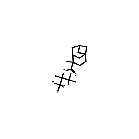 CC1(C(=O)OC(C)(C(C)(C)C)C(F)(F)F)CCC23CC(CC1C2)C3